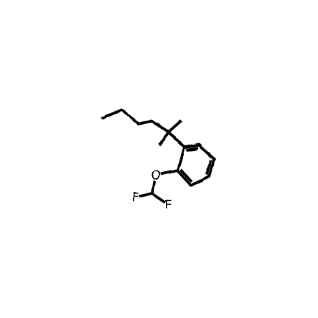 CCCCC(C)(C)c1ccccc1OC(F)F